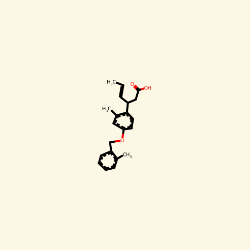 C/C=C/C(CC(=O)O)c1ccc(OCc2ccccc2C)cc1C